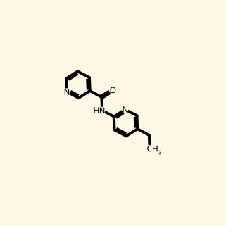 CCc1ccc(NC(=O)c2cccnc2)nc1